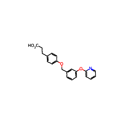 O=C(O)CCc1ccc(OCc2cccc(Oc3ccccn3)c2)cc1